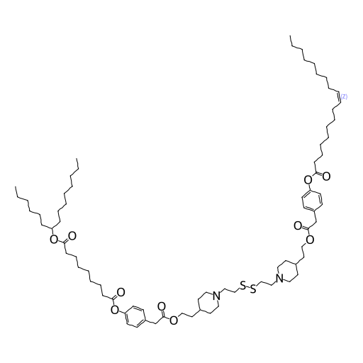 CCCCCCCC/C=C\CCCCCCCC(=O)Oc1ccc(CC(=O)OCCC2CCN(CCSSCCN3CCC(CCOC(=O)Cc4ccc(OC(=O)CCCCCCCC(=O)OC(CCCCCC)CCCCCCCC)cc4)CC3)CC2)cc1